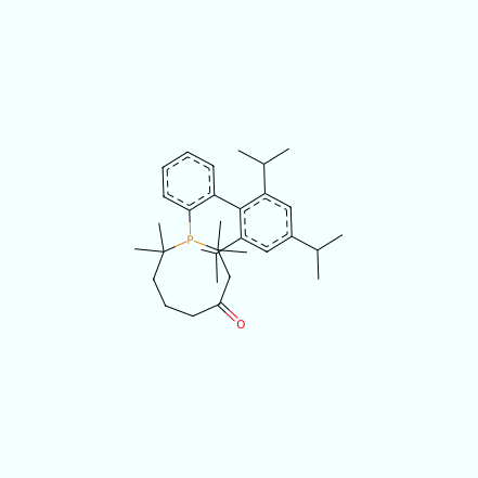 CC(C)c1cc(C(C)C)c(-c2ccccc2P2C(C)(C)CCCC(=O)CC2(C)C)c(C(C)C)c1